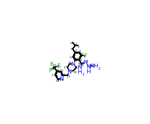 CC(C)Cc1cc(F)c(/C(N)=N/NN)c(N2CCN(Cc3cc(C(F)(F)F)ccn3)CC2)c1